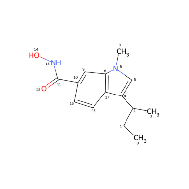 CCC(C)c1cn(C)c2cc(C(=O)NO)ccc12